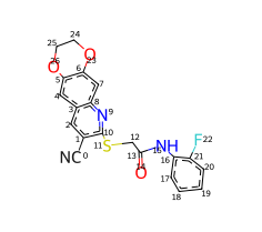 N#Cc1cc2cc3c(cc2nc1SCC(=O)Nc1ccccc1F)OCCO3